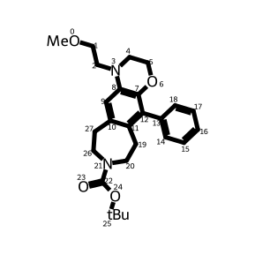 COCCN1CCOc2c1cc1c(c2-c2ccccc2)CCN(C(=O)OC(C)(C)C)CC1